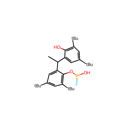 CC(c1cc(C(C)(C)C)cc(C(C)(C)C)c1O)c1cc(C(C)(C)C)cc(C(C)(C)C)c1OP(O)F